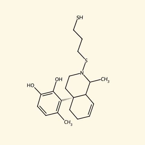 Cc1ccc(O)c(O)c1[C@@]12CCC=CC1C(C)N(SCCCS)CC2